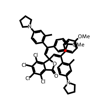 COc1ccc(C(=CC2(C=C(c3ccc(OC)cc3)c3ccc(N4CCCC4)cc3C)OC(=O)c3c(Cl)c(Cl)c(Cl)c(Cl)c32)c2ccc(N3CCCC3)cc2C)cc1